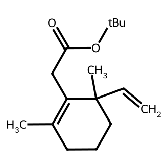 C=CC1(C)CCCC(C)=C1CC(=O)OC(C)(C)C